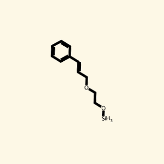 [SiH3]OCCOCC=Cc1ccccc1